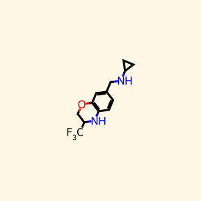 FC(F)(F)C1COc2cc(CNC3CC3)ccc2N1